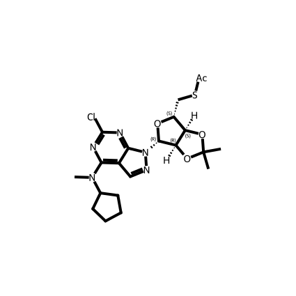 CC(=O)SC[C@H]1O[C@@H](n2ncc3c(N(C)C4CCCC4)nc(Cl)nc32)[C@@H]2OC(C)(C)O[C@@H]21